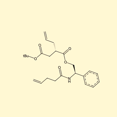 C=CCCC(=O)N[C@@H](COC(=O)[C@@H](CC=C)CC(=O)OC(C)(C)C)c1ccccc1